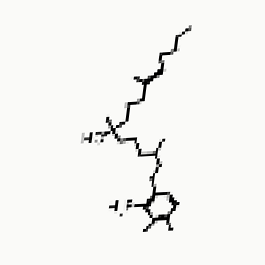 CCCC/C=C(\C)CCCC(C)(O)CCCC(C)CCc1ccc(C)c(C)c1P